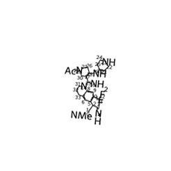 CNCC(C=N)c1cc2c(cc1C(F)F)N(C(N)C1=C(NC3CCNCC3)CCN(C(C)=O)C1)CCC2